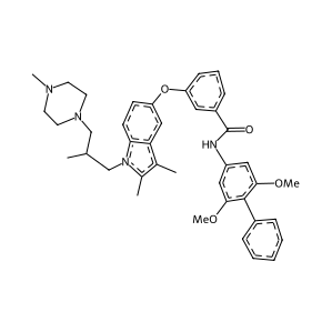 COc1cc(NC(=O)c2cccc(Oc3ccc4c(c3)c(C)c(C)n4CC(C)CN3CCN(C)CC3)c2)cc(OC)c1-c1ccccc1